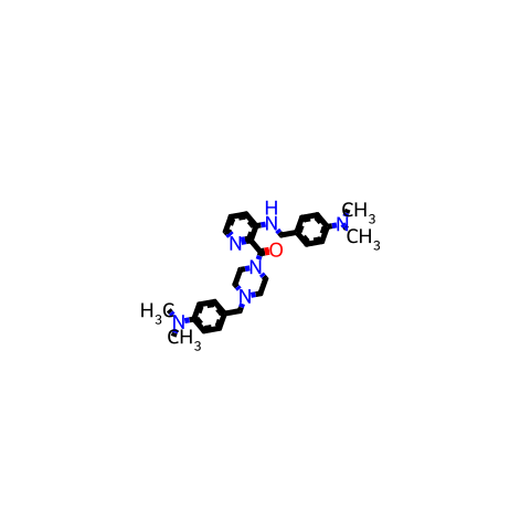 CN(C)c1ccc(CNc2cccnc2C(=O)N2CCN(Cc3ccc(N(C)C)cc3)CC2)cc1